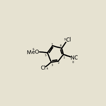 [C-]#[N+]c1cc(Cl)c(OC)cc1Cl